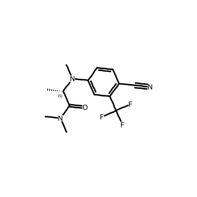 C[C@@H](C(=O)N(C)C)N(C)c1ccc(C#N)c(C(F)(F)F)c1